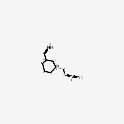 [N-]=[N+]=NC[C@@H]1CCCC(C=N)C1